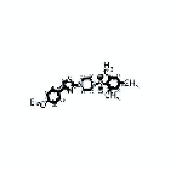 CCOc1ccc(-c2csc(N3CCN(S(=O)(=O)c4c(C)cc(C)cc4C)CC3)n2)cc1